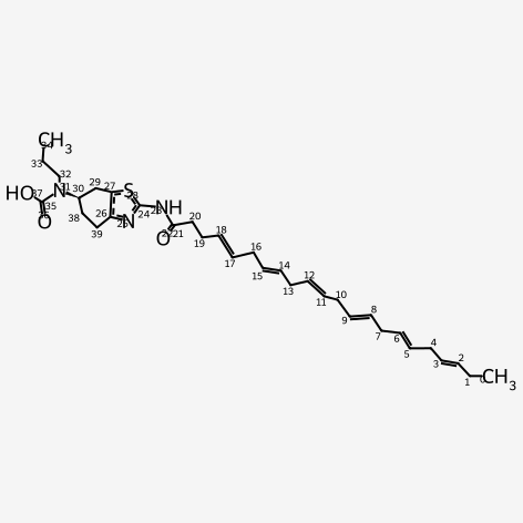 CCC=CCC=CCC=CCC=CCC=CCC=CCCC(=O)Nc1nc2c(s1)C[C@H](N(CCC)C(=O)O)CC2